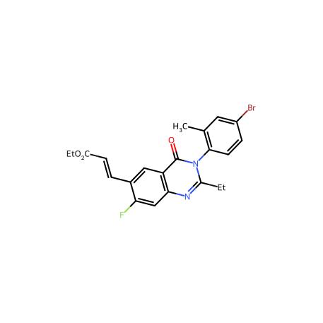 CCOC(=O)C=Cc1cc2c(=O)n(-c3ccc(Br)cc3C)c(CC)nc2cc1F